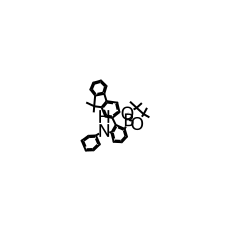 CC1(C)c2ccccc2-c2ccc(-c3c(Nc4ccccc4)cccc3B3OC(C)(C)C(C)(C)O3)cc21